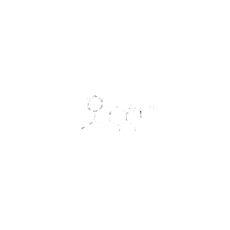 CO[C@H]1[C@@H](C)C[C@H](c2ccncc2N=C=S)C[C@H]1NC(=O)O